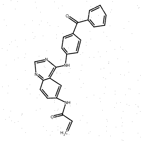 C=CC(=O)Nc1ccc2ncnc(Nc3ccc(C(=O)c4ccccc4)cc3)c2c1